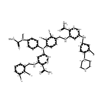 COC(=O)N(C)c1ccc(N(c2cc(NCc3cccc(F)c3F)c(C(N)=O)nn2)c2ccc(CNc3cc(Nc4ccc(N5CCOCC5)c(C)c4)nnc3C(N)=O)c(F)c2F)cc1